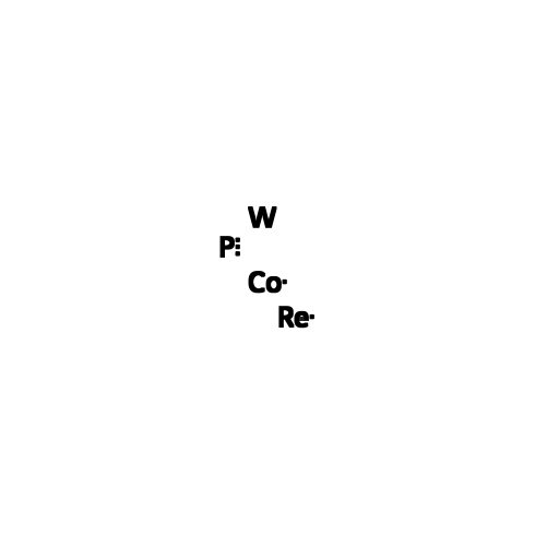 [Co].[P].[Re].[W]